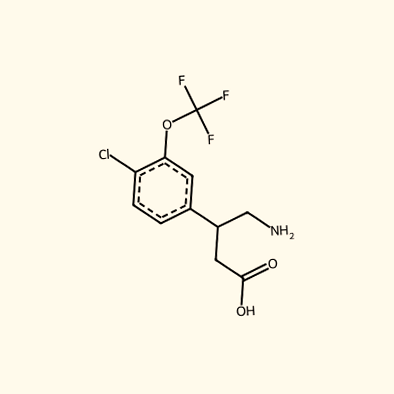 NCC(CC(=O)O)c1ccc(Cl)c(OC(F)(F)F)c1